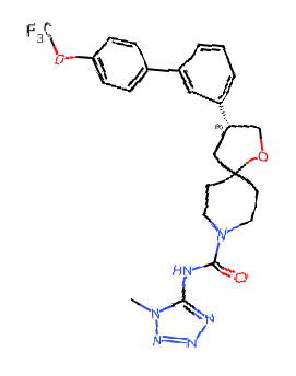 Cn1nnnc1NC(=O)N1CCC2(CC1)C[C@H](c1cccc(-c3ccc(OC(F)(F)F)cc3)c1)CO2